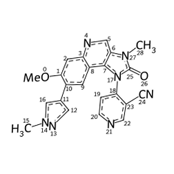 COc1cc2ncc3c(c2cc1-c1cnn(C)c1)n(-c1ccncc1C#N)c(=O)n3C